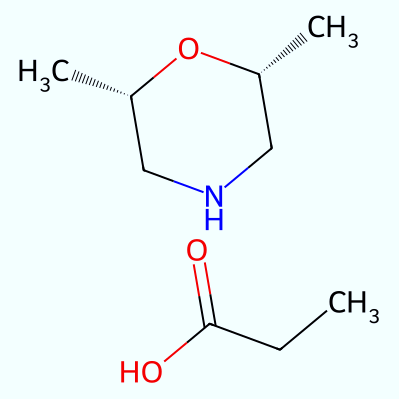 CCC(=O)O.C[C@@H]1CNC[C@H](C)O1